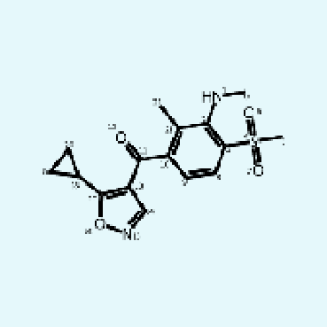 CNc1c(S(C)(=O)=O)ccc(C(=O)c2cnoc2C2CC2)c1C